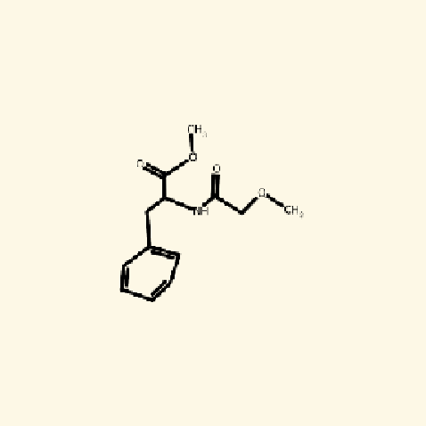 COCC(=O)NC(Cc1ccccc1)C(=O)OC